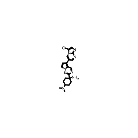 CN(C)C1CCC(N)(c2ncc3c(-c4cnc5ncc(Cl)n5c4)ccn3n2)CC1